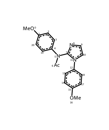 COc1ccc(N(C(C)=O)c2nccn2-c2ccc(OC)cc2)cc1